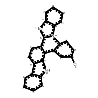 Clc1ccc2c(c1)c1c(ccc3c4ccccc4[nH]c31)c1nc3ccccc3n21